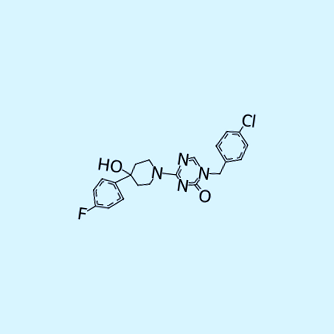 O=c1nc(N2CCC(O)(c3ccc(F)cc3)CC2)ncn1Cc1ccc(Cl)cc1